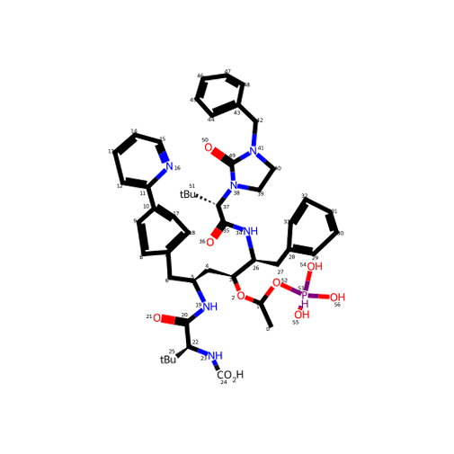 CC(O[C@@H](C[C@H](Cc1ccc(-c2ccccn2)cc1)NC(=O)[C@@H](NC(=O)O)C(C)(C)C)[C@H](Cc1ccccc1)NC(=O)[C@@H](N1CCN(Cc2ccccc2)C1=O)C(C)(C)C)O[PH](O)(O)O